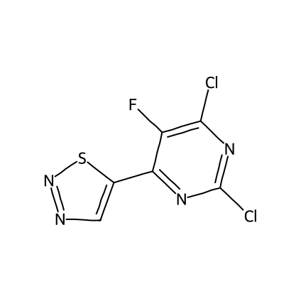 Fc1c(Cl)nc(Cl)nc1-c1cnns1